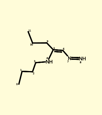 CCCCN/C(=C\N=N)CCC